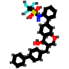 O=S(=O)(Nc1ccccc1-c1ccc2c(c1)OCC(Cc1ccc(-c3ccccc3)cc1)C2O)C(F)(F)F